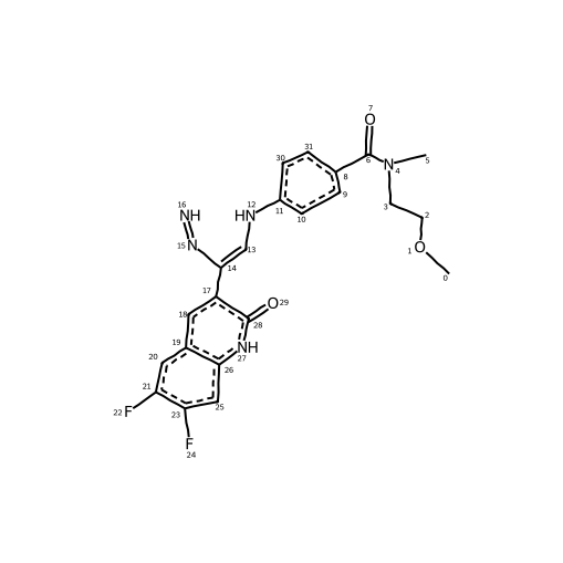 COCCN(C)C(=O)c1ccc(N/C=C(\N=N)c2cc3cc(F)c(F)cc3[nH]c2=O)cc1